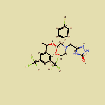 CC(O[C@@H]1OCCN(Cc2n[nH]c(=O)[nH]2)[C@H]1c1ccc(F)cc1)c1cc(C(F)(F)F)cc(C(F)(F)F)c1